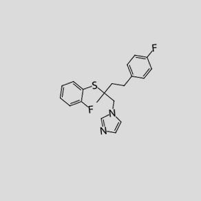 CC(CCc1ccc(F)cc1)(Cn1ccnc1)Sc1ccccc1F